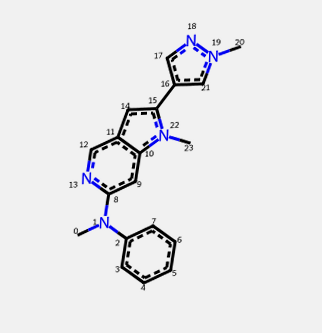 CN(c1ccccc1)c1cc2c(cn1)cc(-c1cnn(C)c1)n2C